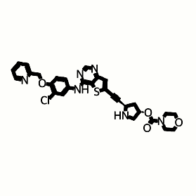 O=C(O[C@@H]1CN[C@@H](C#Cc2cc3ncnc(Nc4ccc(OCc5ccccn5)c(Cl)c4)c3s2)C1)N1CCOCC1